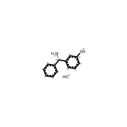 Cl.N[C@@H](c1ccccc1)c1cccc(O)c1